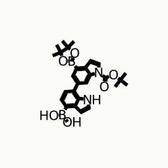 CC(C)(C)OC(=O)n1ccc2c(B3OC(C)(C)C(C)(C)O3)cc(-c3ccc(B(O)O)c4cc[nH]c34)cc21